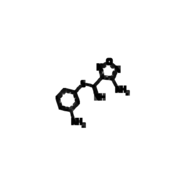 N=C(Sc1cccc(N)c1)c1nonc1N